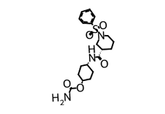 NC(=O)O[C@H]1CC[C@H](NC(=O)[C@H]2CCCN(S(=O)(=O)c3ccccc3)C2)CC1